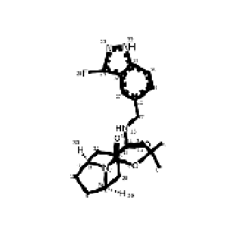 CC(C)(C)OC(=O)N1[C@@H]2CC[C@H]1CC(C(=O)NCc1ccc3[nH]nc(F)c3c1)C2